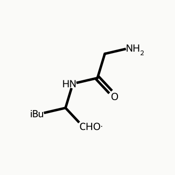 CCC(C)C([C]=O)NC(=O)CN